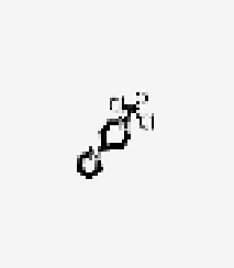 O=P(Cl)(Cl)N1CCC(N2CCCC2)CC1